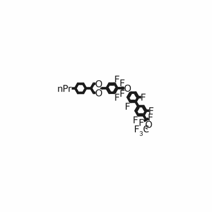 CCCC1CCC(C2COC(c3cc(F)c(C(F)(F)Oc4cc(F)c(-c5cc(F)c(C(F)(F)OC(F)(F)F)c(F)c5)c(F)c4)c(F)c3)OC2)CC1